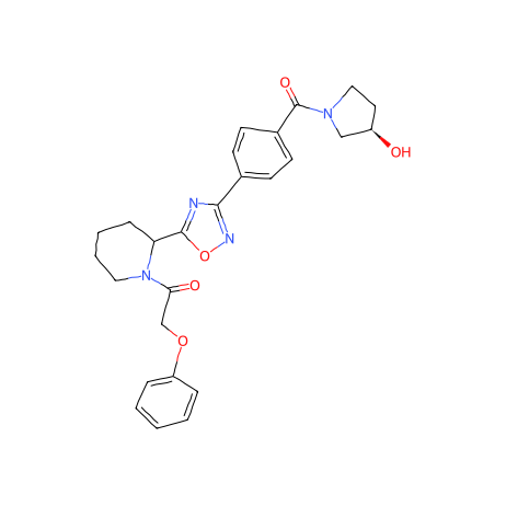 O=C(c1ccc(-c2noc(C3CCCCN3C(=O)COc3ccccc3)n2)cc1)N1CC[C@@H](O)C1